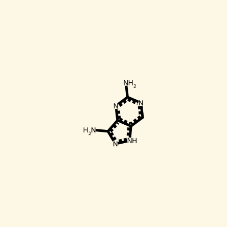 Nc1ncc2[nH]nc(N)c2n1